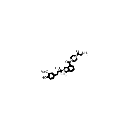 COc1cc(CCC(C)(C)N2Cc3cccc(C(=O)N4CCN(C(=O)CN)CC4)c3C2)ccc1O